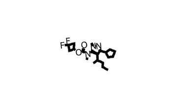 CCCC(C)c1c(C2CCCC2)nn(C)c1N(C)C(=O)OC1CC(F)(F)C1